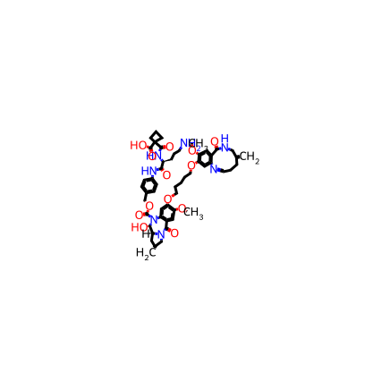 C=C1CC/C=N\c2cc(OCCCCCOc3cc4c(cc3OC)C(=O)N3CC(=C)C[C@H]3[C@H](O)N4C(=O)OCc3ccc(NC(=O)[C@H](CCCN)NC(=O)C4(C(=O)O)CCC4)cc3)c(OC)cc2C(=O)NC1